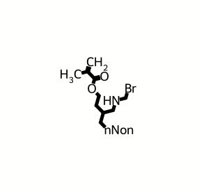 C=C(C)C(=O)OCCC(CCCCCCCCCC)CNCBr